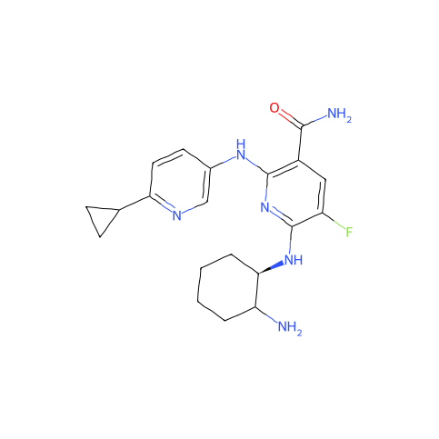 NC(=O)c1cc(F)c(N[C@@H]2CCCCC2N)nc1Nc1ccc(C2CC2)nc1